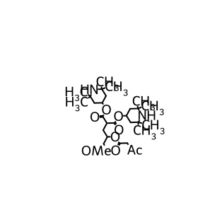 COCC(CC(C(=O)OC1CC(C)(C)NC(C)(C)C1)C(=O)OC1CC(C)(C)NC(C)(C)C1)OC(=O)CC(C)=O